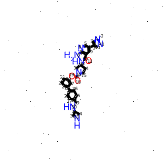 Cn1cc(-c2cnc(N)c(C(=O)NC3CCN(C(=O)Oc4cccc(-c5ccc(CNC6CNC6)cc5)c4)C3)c2)cn1